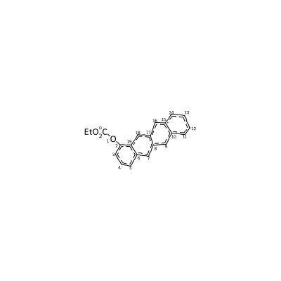 CCOC(=O)Oc1cccc2cc3cc4ccccc4cc3cc12